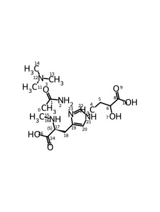 CC(N)=O.CCC(O)C(=O)O.CN(C)C.CN[C@@H](Cc1c[nH]cn1)C(=O)O